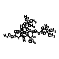 COC(=O)CN(Nc1ccc(OCC(=O)OC(C)(C)C)cc1C)S(=O)(=O)NC(=O)OC(C)(C)C